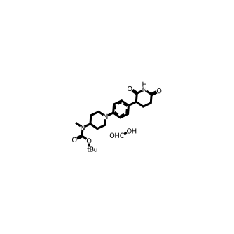 CN(C(=O)OC(C)(C)C)C1CCN(c2ccc(C3CCC(=O)NC3=O)cc2)CC1.O=CO